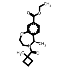 CCOC(=O)c1ccc2c(c1)OCCN(C(=O)C1(C)CCC1)[C@@H]2C